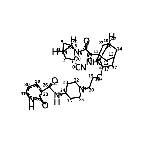 N#C[C@@H]1C[C@@H]2C[C@@H]2N1C(=O)[C@@H](N)C12CC3C[C@H](CC(OCCN4CCC(NC(=O)c5ccc[nH]c5=O)CC4)(C3)C1)C2